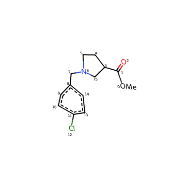 COC(=O)C1CCN(Cc2ccc(Cl)cc2)C1